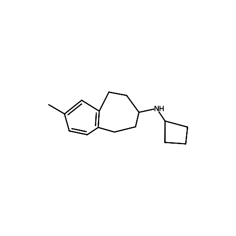 Cc1ccc2c(c1)CCC(NC1CCC1)CC2